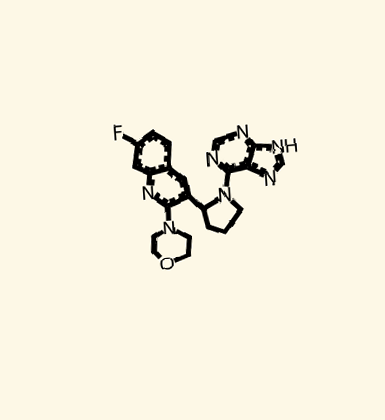 Fc1ccc2cc(C3CCCN3c3ncnc4[nH]cnc34)c(N3CCOCC3)nc2c1